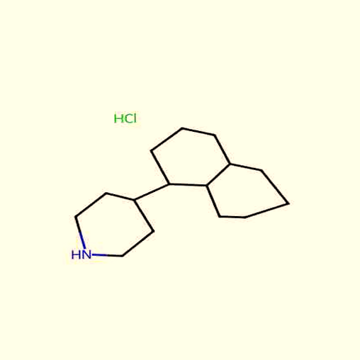 C1CCC2C(C1)CCCC2C1CCNCC1.Cl